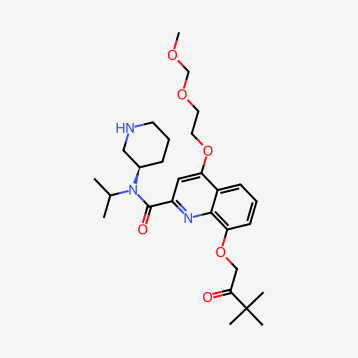 COCOCCOc1cc(C(=O)N(C(C)C)[C@@H]2CCCNC2)nc2c(OCC(=O)C(C)(C)C)cccc12